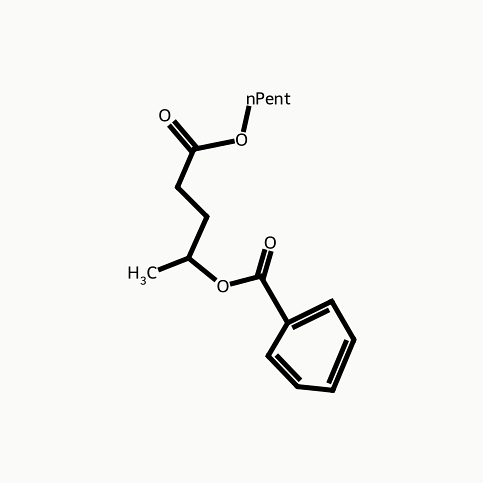 CCCCCOC(=O)CCC(C)OC(=O)c1ccccc1